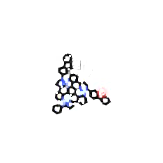 CC1(C)c2ccccc2-c2ccc(-c3ccc(-c4ccccc4-c4cc(-c5ccccc5-c5ccc(-c6ccccc6)nc5)cc(-c5ccccc5-c5ccc(-c6ccc7c(c6)oc6ccccc67)nc5)c4)cn3)cc21